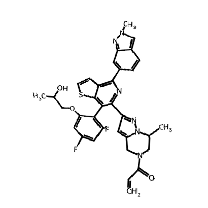 C=CC(=O)N1Cc2cc(-c3nc(-c4ccc5cn(C)nc5c4)c4ccsc4c3-c3c(F)cc(F)cc3OCC(C)O)nn2C(C)C1